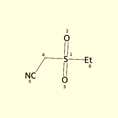 CCS(=O)(=O)CC#N